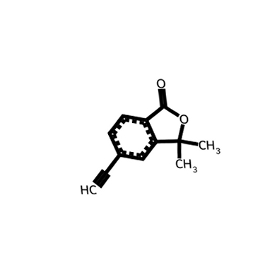 C#Cc1ccc2c(c1)C(C)(C)OC2=O